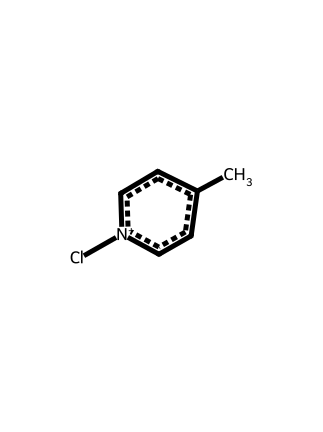 Cc1cc[n+](Cl)cc1